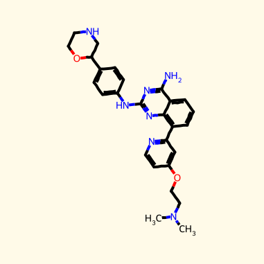 CN(C)CCOc1ccnc(-c2cccc3c(N)nc(Nc4ccc(C5CNCCO5)cc4)nc23)c1